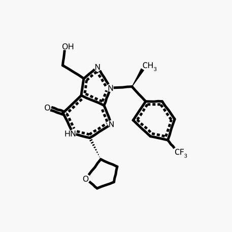 C[C@@H](c1ccc(C(F)(F)F)cc1)n1nc(CO)c2c(=O)[nH]c([C@@H]3CCCO3)nc21